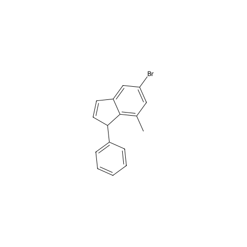 Cc1cc(Br)cc2c1C(c1ccccc1)C=C2